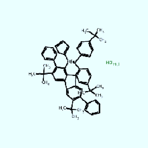 CC(C)(C)c1ccc([C](c2ccc(C(C)(C)C)cc2)=[Hf]([C]2=CC=CC2)[c]2c3c(cc(C(C)(C)C)c2-c2ccccc2)-c2cc(C(C)(C)C)c(-c4ccccc4)cc2C3)cc1.Cl.Cl